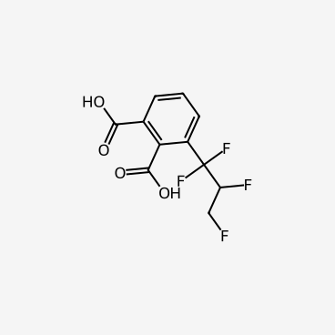 O=C(O)c1cccc(C(F)(F)C(F)CF)c1C(=O)O